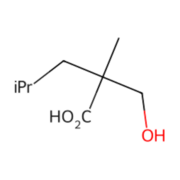 CC(C)CC(C)(CO)C(=O)O